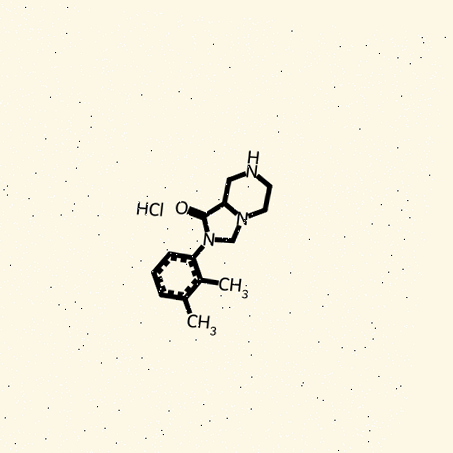 Cc1cccc(N2CN3CCNCC3C2=O)c1C.Cl